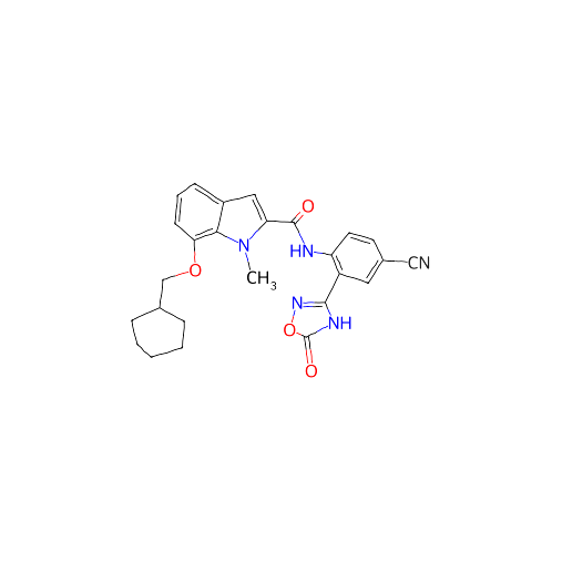 Cn1c(C(=O)Nc2ccc(C#N)cc2-c2noc(=O)[nH]2)cc2cccc(OCC3CCCCC3)c21